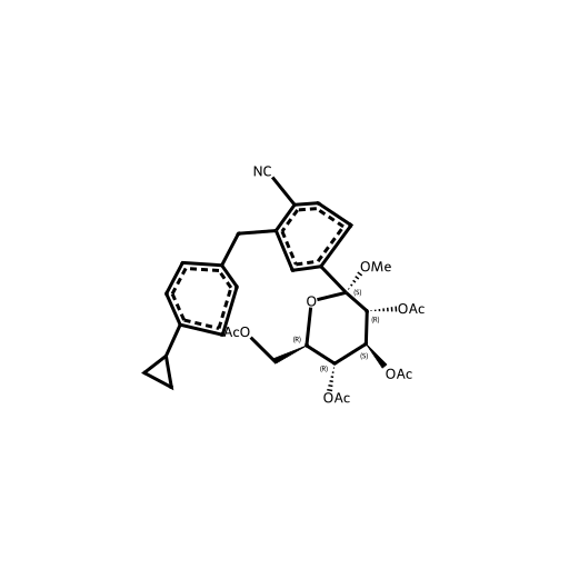 CO[C@@]1(c2ccc(C#N)c(Cc3ccc(C4CC4)cc3)c2)O[C@H](COC(C)=O)[C@@H](OC(C)=O)[C@H](OC(C)=O)[C@H]1OC(C)=O